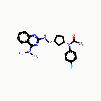 CN(C)c1nc(NC[C@@H]2CC[C@H](N(C(=O)C(F)(F)F)c3ccc(F)cc3)C2)nc2ccccc12